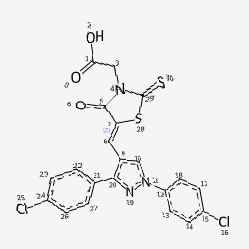 O=C(O)CN1C(=O)/C(=C/c2cn(-c3ccc(Cl)cc3)nc2-c2ccc(Cl)cc2)SC1=S